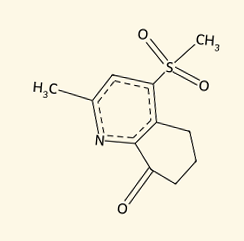 Cc1cc(S(C)(=O)=O)c2c(n1)C(=O)CCC2